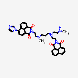 CNCCN(CCCN(C)CCN1C(=O)c2cccc3c(-n4ccnc4)ccc(c23)C1=O)CCN1C(=O)c2cccc3cccc(c23)C1=O